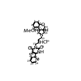 COc1cccc2c1[C@@H]1CN(CCCCn3c(=O)[nH]c4c(sc5cccnc54)c3=O)C[C@@H]1CO2.Cl